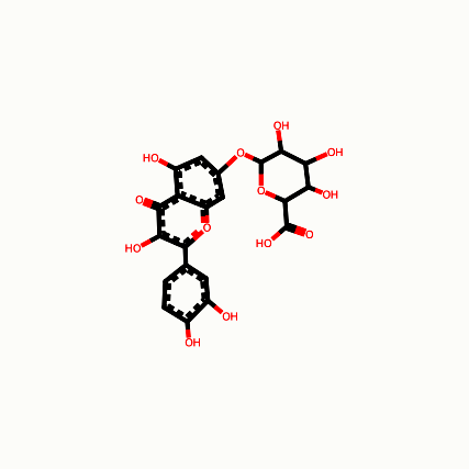 O=C(O)C1OC(Oc2cc(O)c3c(=O)c(O)c(-c4ccc(O)c(O)c4)oc3c2)C(O)C(O)C1O